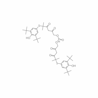 CC(C)(Sc1cc(C(C)(C)C)c(O)c(C(C)(C)C)c1)C(=O)CC(=O)CO[PH](=O)OCC(=O)CC(=O)C(C)(C)Sc1cc(C(C)(C)C)c(O)c(C(C)(C)C)c1